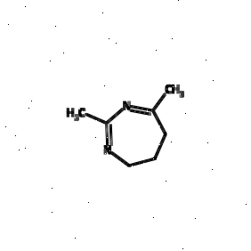 CC1=NC(C)=NCCC1